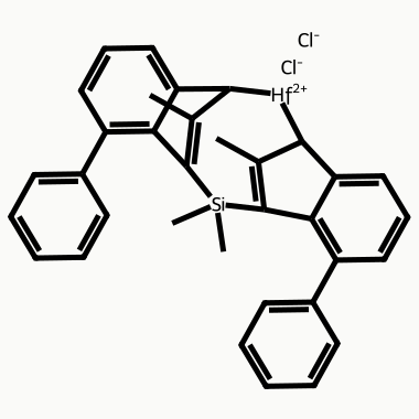 CC1=C2c3c(-c4ccccc4)cccc3[CH]1[Hf+2][CH]1C(C)=C(c3c(-c4ccccc4)cccc31)[Si]2(C)C.[Cl-].[Cl-]